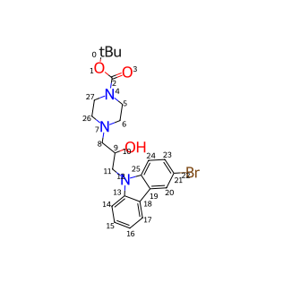 CC(C)(C)OC(=O)N1CCN(CC(O)Cn2c3ccccc3c3cc(Br)ccc32)CC1